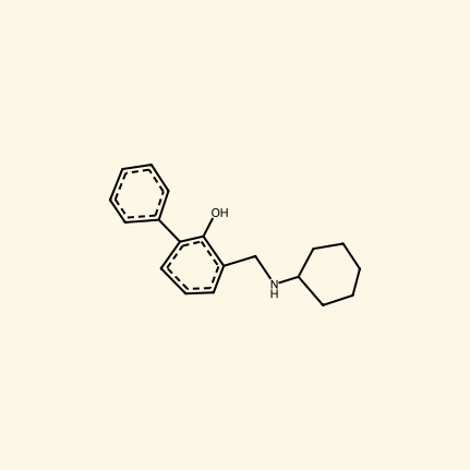 Oc1c(CNC2CCCCC2)cccc1-c1ccccc1